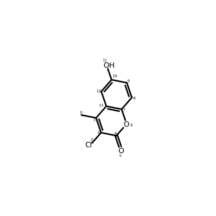 Cc1c(Cl)c(=O)oc2ccc(O)cc12